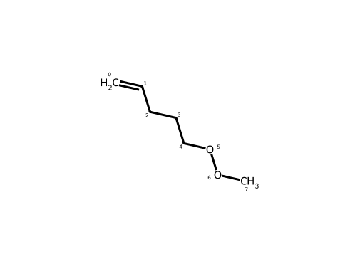 C=CCCCOOC